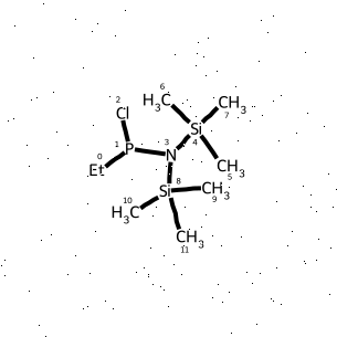 CCP(Cl)N([Si](C)(C)C)[Si](C)(C)C